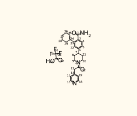 NC(=O)c1ccc(C2CCN(C(=O)Cc3ccncc3)CC2)cc1C1=CCCCC1.O=C(O)C(F)(F)F